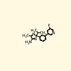 CC1=NC(c2cccc(-c3cncc(F)c3)c2)(C(C)C)N=C1N